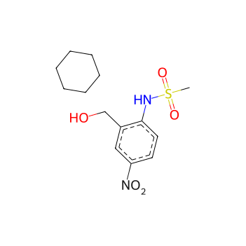 C1CCCCC1.CS(=O)(=O)Nc1ccc([N+](=O)[O-])cc1CO